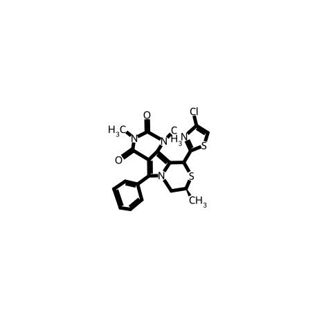 C[C@H]1Cn2c(-c3ccccc3)c3c(=O)n(C)c(=O)n(C)c3c2C(c2nc(Cl)cs2)S1